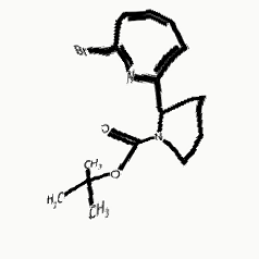 CC(C)(C)OC(=O)N1CCCC1c1cccc(Br)n1